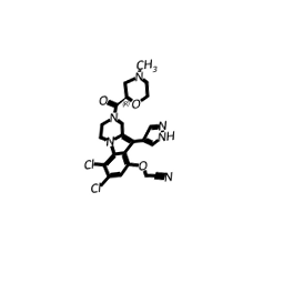 CN1CCO[C@@H](C(=O)N2CCn3c(c(-c4cn[nH]c4)c4c(OCC#N)cc(Cl)c(Cl)c43)C2)C1